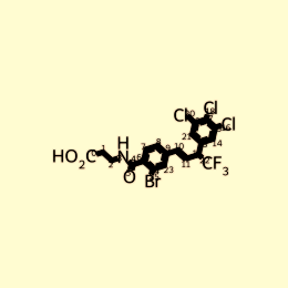 O=C(O)CCNC(=O)c1ccc(C=CC(c2cc(Cl)c(Cl)c(Cl)c2)C(F)(F)F)cc1Br